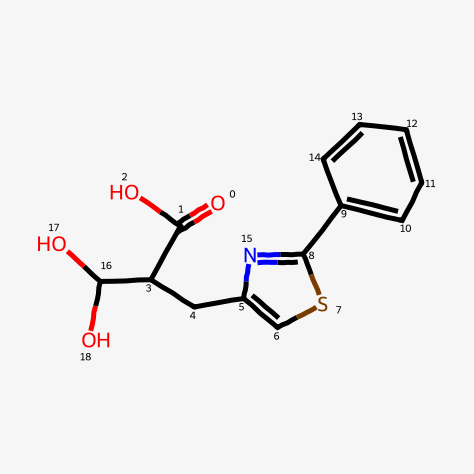 O=C(O)C(Cc1csc(-c2ccccc2)n1)C(O)O